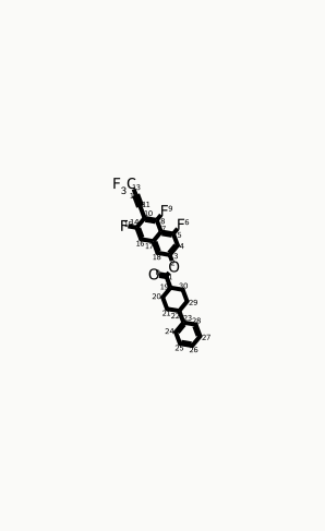 O=C(Oc1cc(F)c2c(F)c(C#CC(F)(F)F)c(F)cc2c1)C1CCC(c2ccccc2)CC1